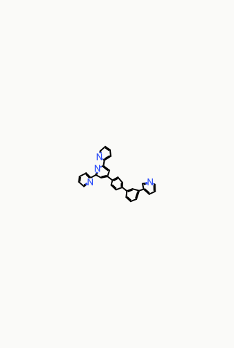 c1ccc(-c2cc(-c3ccc(-c4cccc(-c5cccnc5)c4)cc3)cc(-c3ccccn3)n2)nc1